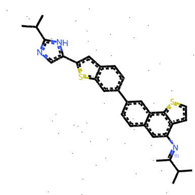 C/C(=N\c1cc2ccc(-c3ccc4cc(-c5cnc(C(C)C)[nH]5)sc4c3)cc2c2sccc12)C(C)C